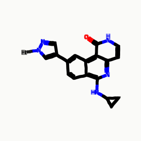 CCn1cc(-c2ccc3c(NC4CC4)nc4cc[nH]c(=O)c4c3c2)cn1